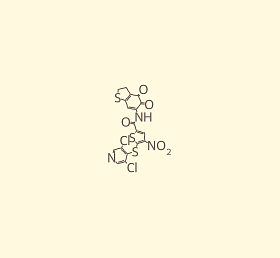 O=C1C(=O)C2=C(C=C1NC(=O)c1cc([N+](=O)[O-])c(Sc3c(Cl)cncc3Cl)s1)SCC2